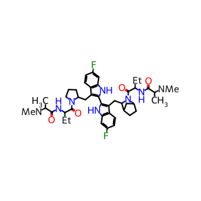 CCC(NC(=O)C(C)NC)C(=O)N1CCCC1Cc1c(-c2[nH]c3cc(F)ccc3c2CC2C3CCC(C3)N2C(=O)C(CC)NC(=O)C(C)NC)[nH]c2cc(F)ccc12